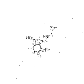 ON1CN(CNCC2CC2)c2c1ccc(F)c2F